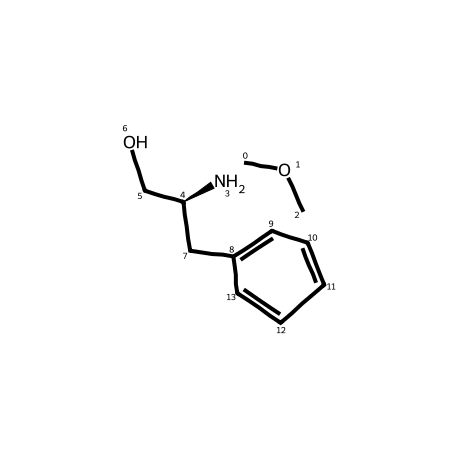 COC.N[C@H](CO)Cc1ccccc1